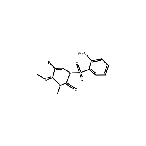 C/N=c1\c(F)cn(S(=O)(=O)c2ccccc2OC)c(=O)n1C